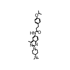 Cc1nc(N2CCC(N(C)C)CC2)nc2ccc(NC(=O)CCc3ccc(OC(C)C)cc3)cc12